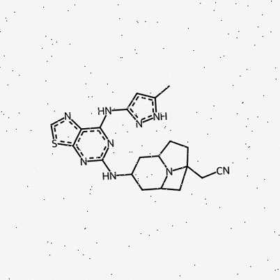 Cc1cc(Nc2nc(NC3CC4CCC5(CC#N)CC(C3)N45)nc3scnc23)n[nH]1